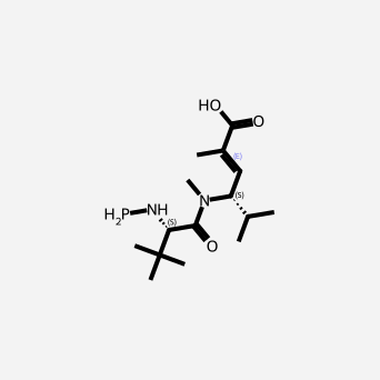 C/C(=C\[C@H](C(C)C)N(C)C(=O)[C@@H](NP)C(C)(C)C)C(=O)O